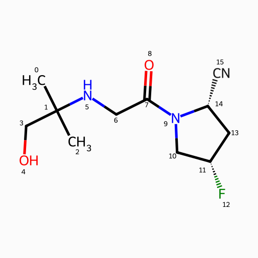 CC(C)(CO)NCC(=O)N1C[C@@H](F)C[C@H]1C#N